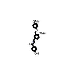 COc1ccc(OCc2cc(/C=C/C(=O)c3ccc(O)cc3)ccc2OC)cc1